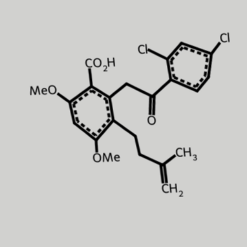 C=C(C)CCc1c(OC)cc(OC)c(C(=O)O)c1CC(=O)c1ccc(Cl)cc1Cl